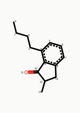 CCCCc1cccc2c1C(=O)C(C)C2